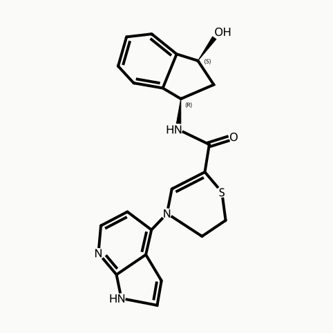 O=C(N[C@@H]1C[C@H](O)c2ccccc21)C1=CN(c2ccnc3[nH]ccc23)CCS1